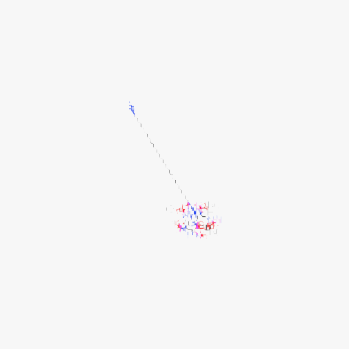 CN(C(=O)OC(C)(C)C)C(CCCCNC(=O)OC(C)(C)C)(CCCNC(=O)OC(C)(C)C)C(CCCCCCNC(=O)CCCCCCCCCCC=CCCCCCCCCCCC=CCCCCCCCCCCCN=[N+]=[N-])CN(CCCC(C)(CCCNC(=O)OC(C)(C)C)NC(=O)OC(C)(C)C)C(=O)OC(C)(C)C